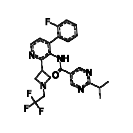 CC(C)c1ncc(C(=O)Nc2c(-c3ccccc3F)ccnc2C2CN(CC(F)(F)F)C2)cn1